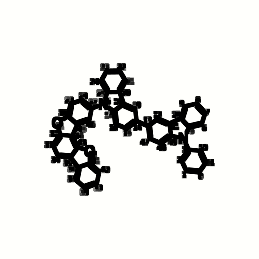 c1ccc(-n2c3ccccc3c3cc(-c4ccc5c(c4)c4ccccc4n5-c4ccc5oc6ccc7c8ccccc8oc7c6c5c4)ccc32)cc1